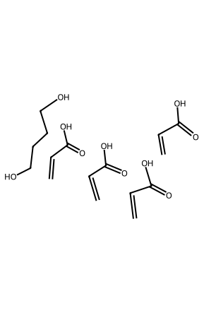 C=CC(=O)O.C=CC(=O)O.C=CC(=O)O.C=CC(=O)O.OCCCCO